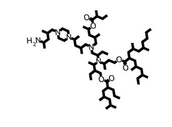 CCCCC(C)CC(C)CC(CC(C)CC(C)CC)C(=O)OCCC(C)N(C(CC)CN(CC(C)CC(C)OC(=O)C(C)CC)CC(C)CC(C)N1CCN(CC(C)CC(C)N)CC1)C(C)C(CC)COC(=O)C(CCC)CC(C)CC(C)C